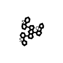 c1ccc2c(c1)oc1c(-c3c4cccc(-c5cccc6sc7ccccc7c56)c4cc4c(-c5cccc6sc7ccccc7c56)cccc34)cccc12